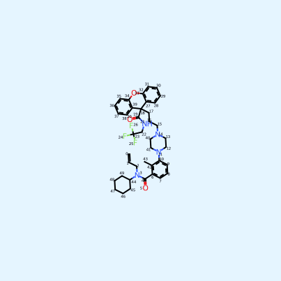 C=CCN(C(=O)c1cccc(N2CCN(CCCC3(C(=O)NCC(F)(F)F)c4ccccc4Oc4ccccc43)CC2)c1C)C1CCCCC1